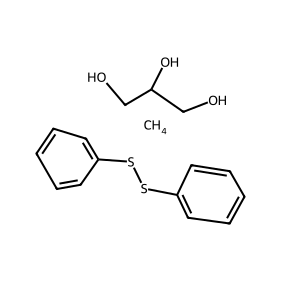 C.OCC(O)CO.c1ccc(SSc2ccccc2)cc1